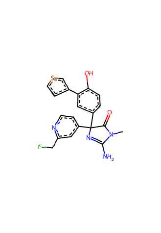 CN1C(=O)C(c2ccnc(CF)c2)(c2ccc(O)c(-c3ccsc3)c2)N=C1N